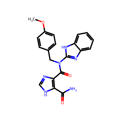 COc1ccc(CN(C(=O)c2nc[nH]c2C(N)=O)c2nc3ccccc3[nH]2)cc1